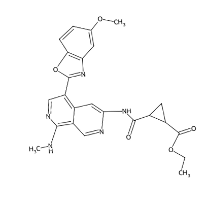 CCOC(=O)C1CC1C(=O)Nc1cc2c(-c3nc4cc(OC)ccc4o3)cnc(NC)c2cn1